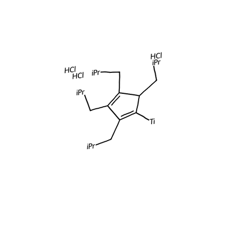 CC(C)CC1=[C]([Ti])C(CC(C)C)C(CC(C)C)=C1CC(C)C.Cl.Cl.Cl